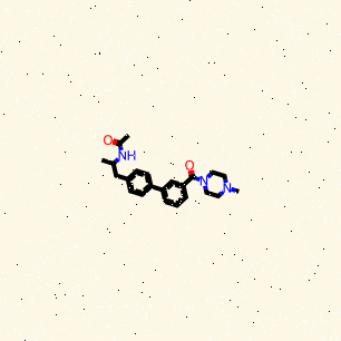 CC(=O)NC(C)Cc1ccc(-c2cccc(C(=O)N3CCN(C)CC3)c2)cc1